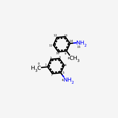 Cc1cccc(N)c1.Cc1ccccc1N